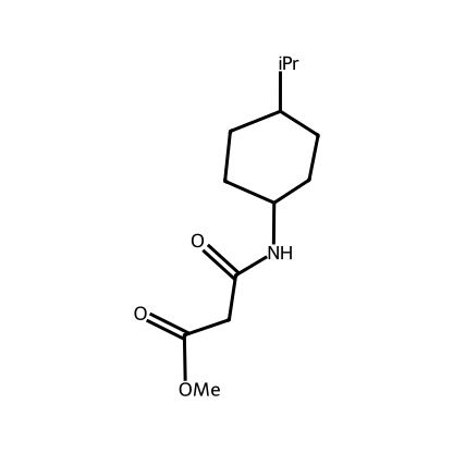 COC(=O)CC(=O)NC1CCC(C(C)C)CC1